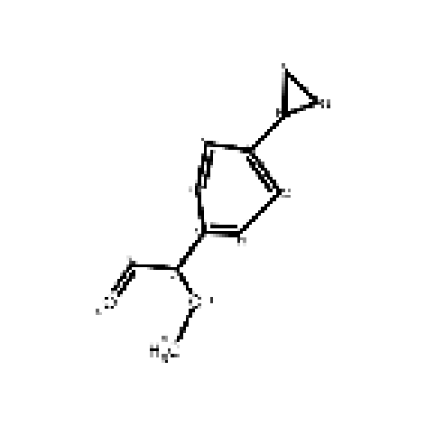 COC(C=O)c1ccc(C2CC2)cc1